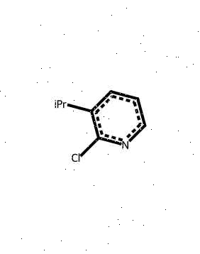 CC(C)c1cccnc1Cl